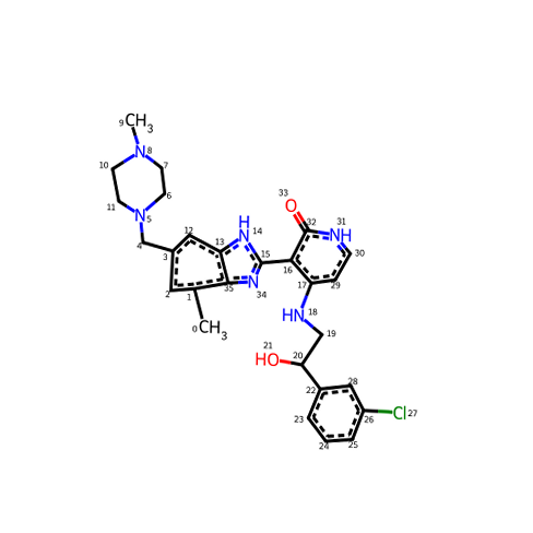 Cc1cc(CN2CCN(C)CC2)cc2[nH]c(-c3c(NCC(O)c4cccc(Cl)c4)cc[nH]c3=O)nc12